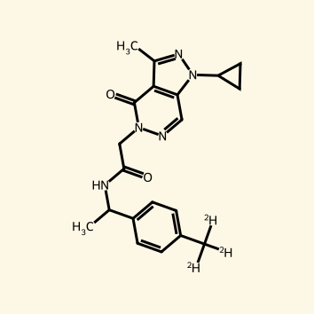 [2H]C([2H])([2H])c1ccc(C(C)NC(=O)Cn2ncc3c(c(C)nn3C3CC3)c2=O)cc1